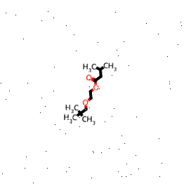 CC(C)CC(=O)OCCOCC(C)(C)C